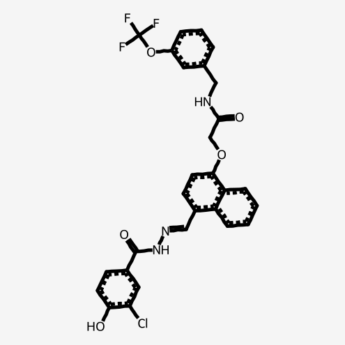 O=C(COc1ccc(C=NNC(=O)c2ccc(O)c(Cl)c2)c2ccccc12)NCc1cccc(OC(F)(F)F)c1